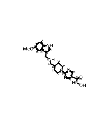 COc1ccc2[nH]cc(CNCC3CCN(c4ncc(C(=O)NO)cn4)CC3)c2c1